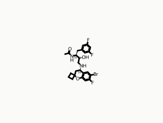 CC(=O)N[C@@H](Cc1cc(F)cc(F)c1)[C@H](O)CN[C@H]1CC2(CCC2)Oc2cc(F)c(Br)cc21